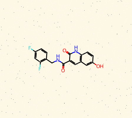 O=C(NCc1ccc(F)cc1F)c1cc2cc(O)ccc2[nH]c1=O